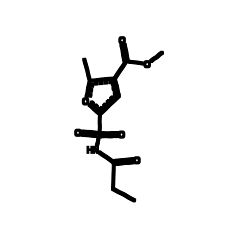 CCC(=O)NS(=O)(=O)c1cc(C(=O)OC)c(C)o1